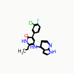 CCc1[nH]c(=O)c(-c2ccc(F)c(Cl)c2)cc1Nc1ccnc2[nH]ccc12